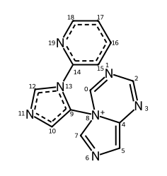 C1=NC=NC2=CN=C[N+]12c1cncn1-c1ccccn1